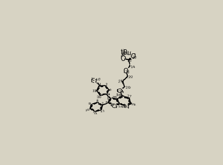 CCc1ccc(-c2c(-c3ccccc3)oc3nccc(OCCCOCC(=O)OC(C)(C)C)c23)cc1